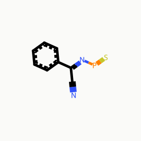 N#CC(=NP=S)c1ccccc1